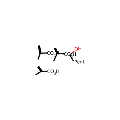 C=C(C)C(=O)O.C=C(C)C(=O)O.C=C(C)C(=O)O.CCCC(C)CO